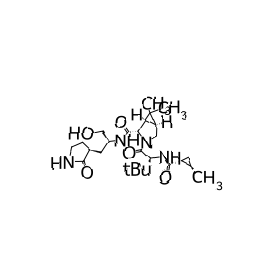 C[C@@H]1C[C@H]1C(=O)N[C@H](C(=O)N1C[C@H]2[C@@H]([C@H]1C(=O)N[C@H](CO)C[C@@H]1CCNC1=O)C2(C)C)C(C)(C)C